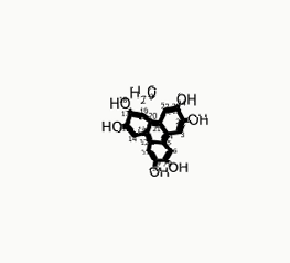 O.Oc1cc2c3cc(O)c(O)cc3c3cc(O)c(O)cc3c2cc1O